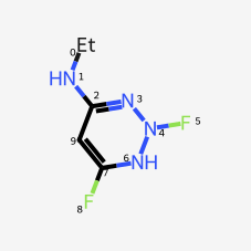 CCNC1=NN(F)NC(F)=C1